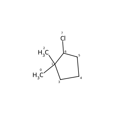 CC1(C)CCCC1Cl